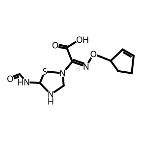 O=CNC1NCN(/C(=N/OC2C=CCC2)C(=O)O)S1